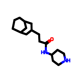 O=C(CCC1CC2CCCC(C2)C1)NC1CCNCC1